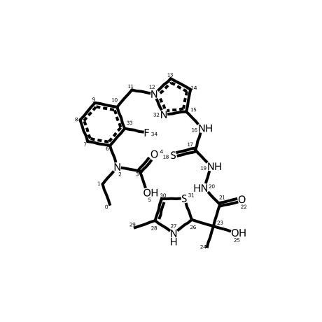 CCN(C(=O)O)c1cccc(Cn2ccc(NC(=S)NNC(=O)C(C)(O)C3NC(C)=CS3)n2)c1F